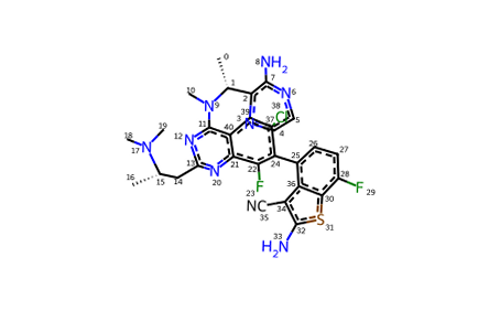 C[C@H](c1nccnc1N)N(C)c1nc(C[C@H](C)N(C)C)nc2c(F)c(-c3ccc(F)c4sc(N)c(C#N)c34)c(Cl)cc12